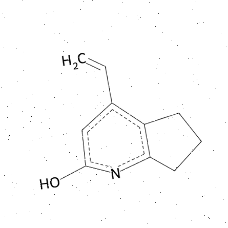 C=Cc1cc(O)nc2c1CCC2